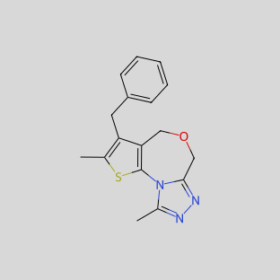 Cc1sc2c(c1Cc1ccccc1)COCc1nnc(C)n1-2